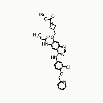 C=CC(=O)Nc1cc2c(Nc3ccc(OCc4ccccn4)c(Cl)c3)ncnc2cc1OCC1CN(C(=O)OC(C)(C)C)C1